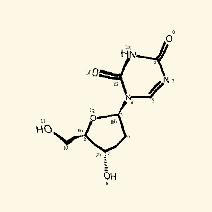 O=c1ncn([C@H]2C[C@H](O)[C@@H](CO)O2)c(=O)[nH]1